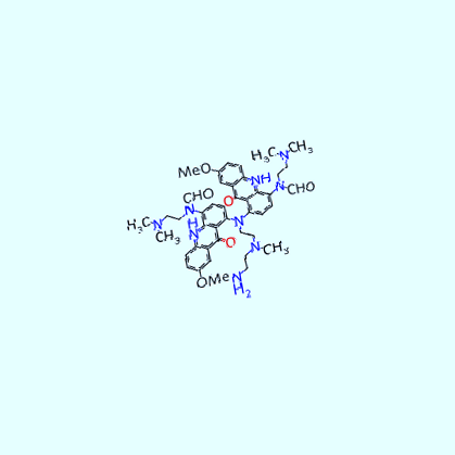 COc1ccc2[nH]c3c(N(C=O)CCN(C)C)ccc(N(CCN(C)CCN)c4ccc(N(C=O)CCN(C)C)c5[nH]c6ccc(OC)cc6c(=O)c45)c3c(=O)c2c1